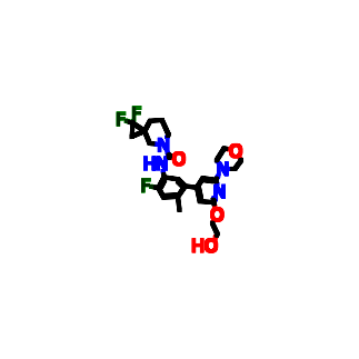 Cc1cc(F)c(NC(=O)N2CCCC3(C2)CC3(F)F)cc1-c1cc(OCCO)nc(N2CCOCC2)c1